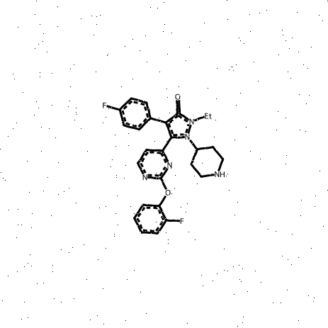 CCn1c(=O)c(-c2ccc(F)cc2)c(-c2ccnc(Oc3ccccc3F)n2)n1C1CCNCC1